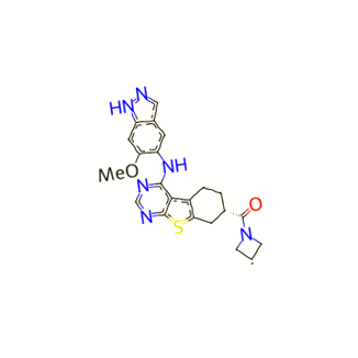 COc1cc2[nH]ncc2cc1Nc1ncnc2sc3c(c12)CC[C@H](C(=O)N1C[CH]C1)C3